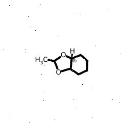 CC1OC2CCCC[C@H]2O1